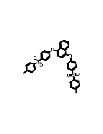 Cc1ccc(S(=O)(=O)c2ccc(Oc3ccc(Oc4ccc(S(=O)(=O)c5ccc(C)cc5)cc4)c4ccccc34)cc2)cc1